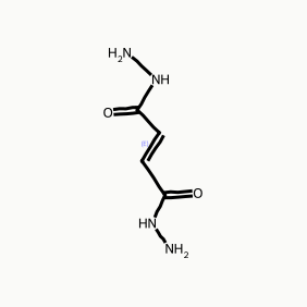 NNC(=O)/C=C/C(=O)NN